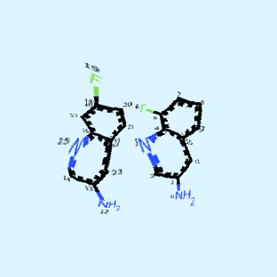 Nc1cnc2c(F)cccc2c1.Nc1cnc2cc(F)ccc2c1